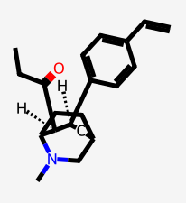 C=Cc1ccc([C@H]2CC3CCC([C@H]2C(=O)CC)N(C)C3)cc1